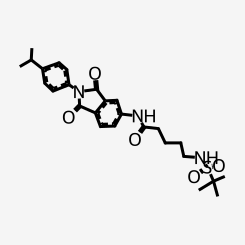 CC(C)c1ccc(N2C(=O)c3ccc(NC(=O)CCCCNS(=O)(=O)C(C)(C)C)cc3C2=O)cc1